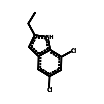 CCc1cc2cc(Cl)cc(Cl)c2[nH]1